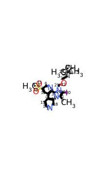 Cc1nc(-c2ncc(S(C)(=O)=O)cc2-c2ccncc2)n(COCC[Si](C)(C)C)c1I